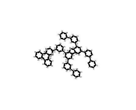 c1ccc(-c2cccc(-c3cc(-c4cccc(-c5ccccc5)c4)c4sc5c(-c6cccc(-c7cnc8c9ccccc9c9ccccc9c8n7)c6)cc(-c6cccc(-c7ccccc7)c6)cc5c4c3)c2)cc1